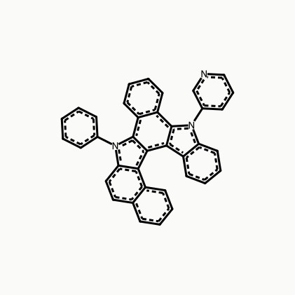 c1ccc(-n2c3ccc4ccccc4c3c3c4c5ccccc5n(-c5cccnc5)c4c4ccccc4c32)cc1